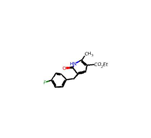 CCOC(=O)c1cc(Cc2ccc(F)cc2)c(=O)[nH]c1C